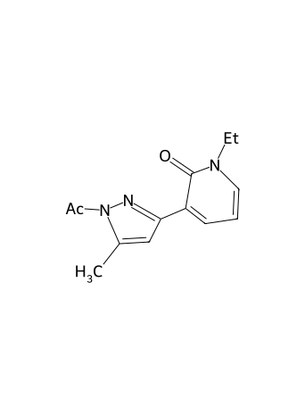 CCn1cccc(-c2cc(C)n(C(C)=O)n2)c1=O